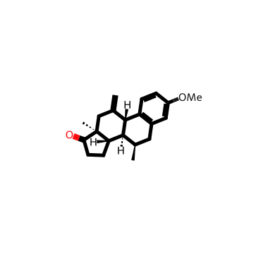 C=C1C[C@]2(C)C(=O)CC[C@H]2[C@@H]2[C@H](C)Cc3cc(OC)ccc3[C@@H]12